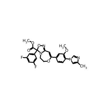 COC(=O)C1(c2cc(F)cc(F)c2)ON=C2C=C(c3ccc(-n4cnc(C)c4)c(OC)c3)OCCN21